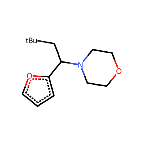 CC(C)(C)CC(c1ccco1)N1CCOCC1